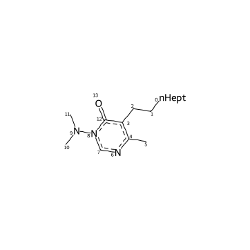 CCCCCCCCCc1c(C)ncn(N(C)C)c1=O